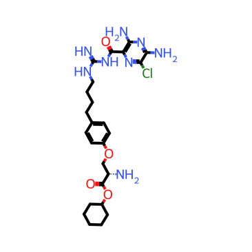 N=C(NCCCCc1ccc(OC[C@H](N)C(=O)OC2CCCCC2)cc1)NC(=O)c1nc(Cl)c(N)nc1N